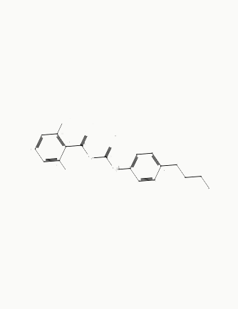 CCCCc1ccc(NC(=O)NC(=O)c2c(F)cccc2F)cc1